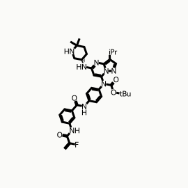 C=C(F)C(=O)Nc1cccc(C(=O)Nc2ccc(N(C(=O)OC(C)(C)C)c3cc(N[C@H]4CCC(C)(C)NC4)nc4c(C(C)C)cnn34)cc2)c1